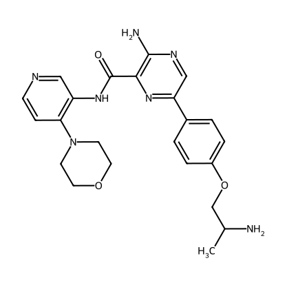 CC(N)COc1ccc(-c2cnc(N)c(C(=O)Nc3cnccc3N3CCOCC3)n2)cc1